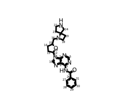 O=C(Nc1ncnc2c1ncn2C1CCC(CN2CCC23CCNC3)O1)c1ccccc1